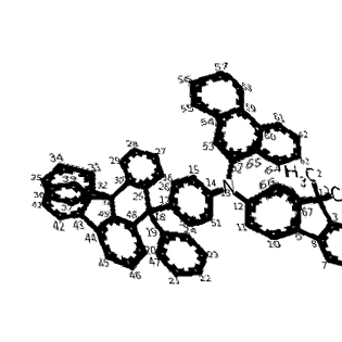 CC1(C)c2ccccc2-c2ccc(N(c3ccc(C4(c5ccccc5)c5ccccc5C5(c6ccccc6)c6ccccc6-c6cccc4c65)cc3)c3cc4ccccc4c4ccccc34)cc21